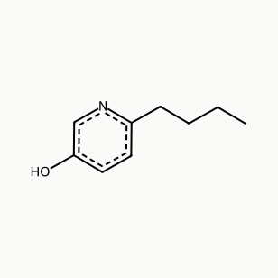 CCCCc1ccc(O)cn1